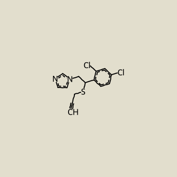 C#CCSC(Cn1ccnc1)c1ccc(Cl)cc1Cl